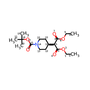 CCOC(=O)C(C(=O)OCC)=C1CCN(C(=O)OC(C)(C)C)CC1